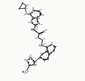 Cc1nc(-c2ccc3ccnc(NCCC(=O)Nc4nc5ccnc(OC6CCC6)c5s4)c3c2)no1